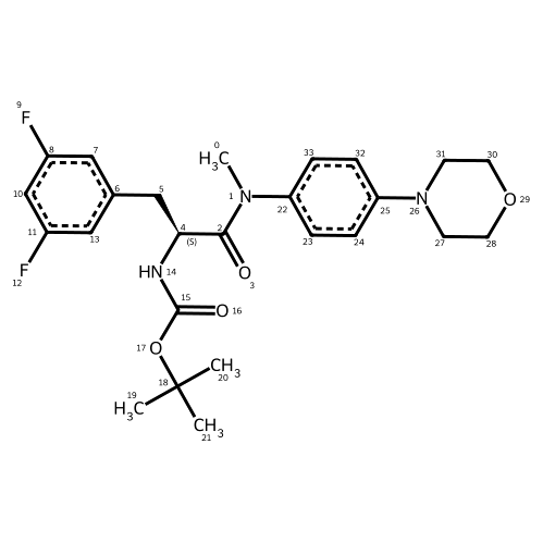 CN(C(=O)[C@H](Cc1cc(F)cc(F)c1)NC(=O)OC(C)(C)C)c1ccc(N2CCOCC2)cc1